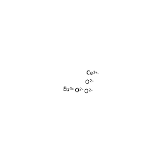 [Ce+3].[Eu+3].[O-2].[O-2].[O-2]